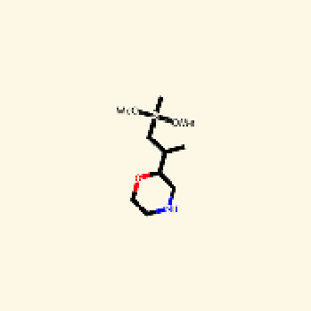 CO[Si](C)(CC(C)C1CNCCO1)OC